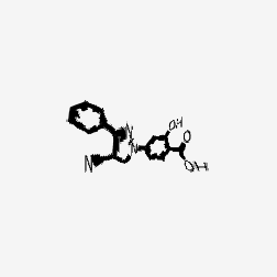 N#Cc1cn(-c2ccc(C(=O)O)c(O)c2)nc1-c1ccccc1